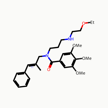 CCOCCNCCCN(C/C(C)=C/c1ccccc1)C(=O)c1cc(OC)c(OC)c(OC)c1